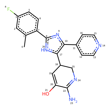 Cc1cc(F)ccc1-c1nc(-c2ccncc2)c(C2C=C(O)C(N)=NC2)[nH]1